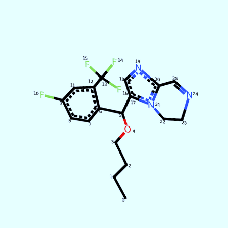 CCCCOC(c1ccc(F)cc1C(F)(F)F)c1cnc2n1CCN=C2